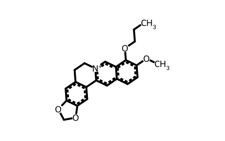 CCCOc1c(OC)ccc2cc3[n+](cc12)CCc1cc2c(cc1-3)OCO2